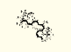 C=C/C=C\[C@H](C)[C@H](O[Si](C)(C)C)[C@@H](C)[C@H](C)CC[C@H](C)C[C@H](C)[C@@H](O[Si](C)(C)C(C)(C)C)[C@@H](C)C=O